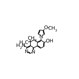 COc1ccn(-c2c(O)ccc3c2CC(C)(C)c2c(N)ncnc2-3)c1